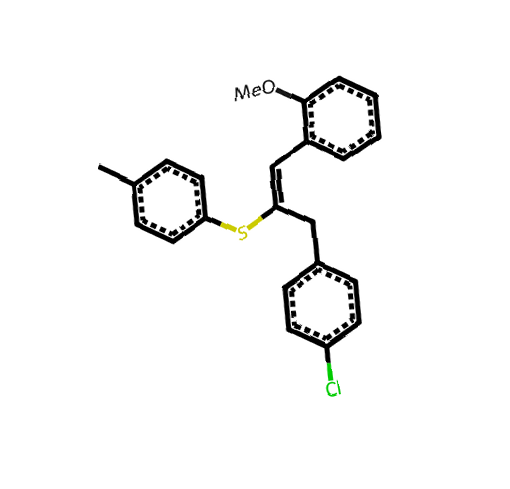 COc1ccccc1/C=C(\Cc1ccc(Cl)cc1)Sc1ccc(C)cc1